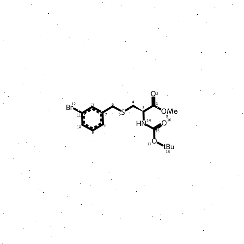 COC(=O)[C@H](CSCc1cccc(Br)c1)NC(=O)OC(C)(C)C